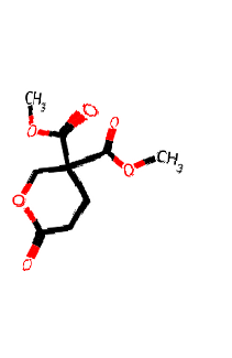 COC(=O)C1(C(=O)OC)CCC(=O)OC1